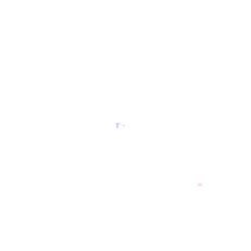 COC(=O)c1ccccc1NCCCCO